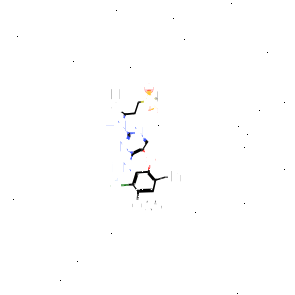 CCS(=O)(=O)CCC(C)Nc1ncc(Oc2cc(Cl)c(OC)cc2C(C)C)c(N)n1